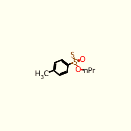 CCCOS(=O)(=S)c1ccc(C)cc1